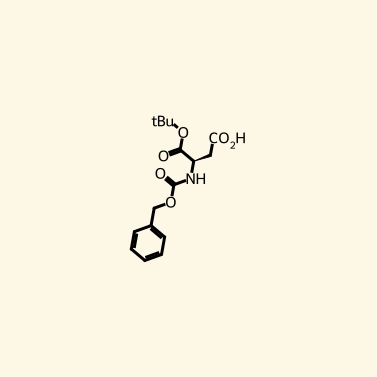 CC(C)(C)OC(=O)[C@@H](CC(=O)O)NC(=O)OCc1ccccc1